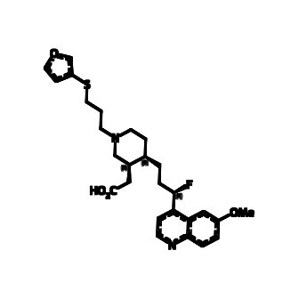 COc1ccc2nccc([C@H](F)CC[C@@H]3CCN(CCCSc4ccoc4)C[C@@H]3CC(=O)O)c2c1